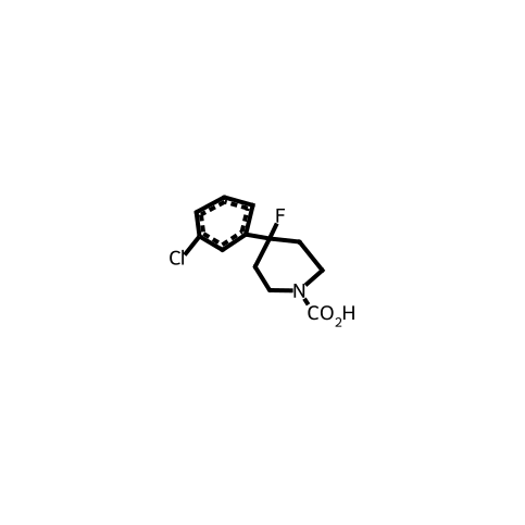 O=C(O)N1CCC(F)(c2cccc(Cl)c2)CC1